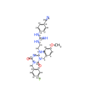 COc1ccc(Cn2c(NCCNC(=N)Nc3ccc(C#N)cc3)nc(=O)n(Cc3ccc(F)cc3)c2=O)cc1